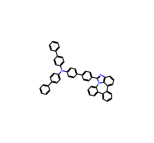 c1ccc(-c2ccc(N(c3ccc(-c4ccccc4)cc3)c3ccc(-c4ccc(-c5nc6cccc7c6n5-c5ccccc5-c5ccccc5-7)cc4)cc3)cc2)cc1